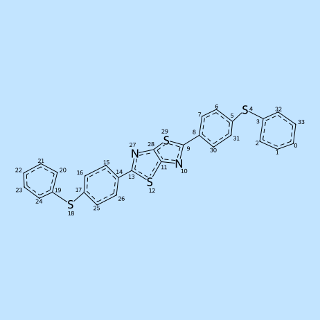 c1ccc(Sc2ccc(-c3nc4sc(-c5ccc(Sc6ccccc6)cc5)nc4s3)cc2)cc1